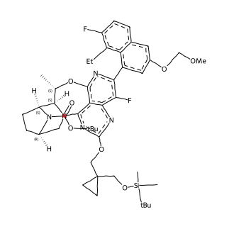 CCc1c(F)ccc2cc(OCOC)cc(-c3nc4c5c(nc(OCC6(CO[Si](C)(C)C(C)(C)C)CC6)nc5c3F)N3C[C@H]5CC[C@@H]([C@H]3[C@H](C)O4)N5C(=O)OC(C)(C)C)c12